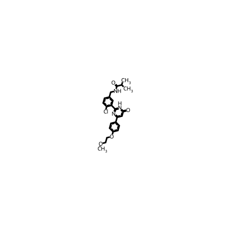 COCCOc1ccc(-c2cc(=O)[nH]c(-c3cc(CNC(=O)C(C)C)ccc3Cl)n2)cc1